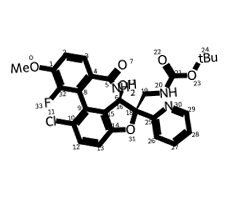 COc1ccc(C(N)=O)c(-c2c(Cl)ccc3c2[C@@H](O)[C@](CNC(=O)OC(C)(C)C)(c2ccccn2)O3)c1F